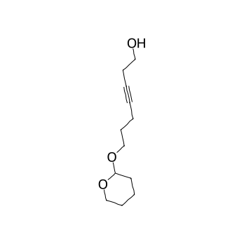 OCCC#CCCCOC1CCCCO1